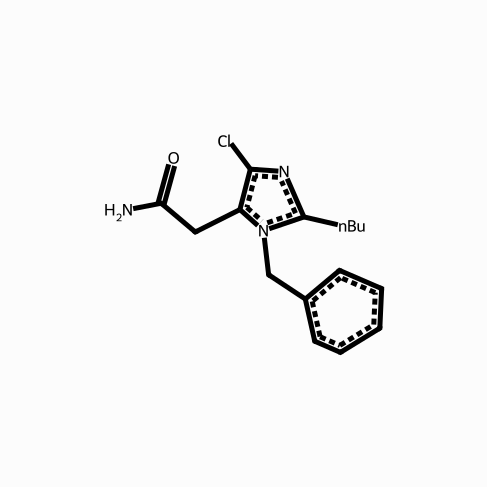 CCCCc1nc(Cl)c(CC(N)=O)n1Cc1ccccc1